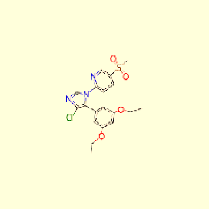 CCOc1cc(OCC)cc(-c2c(Cl)ncn2-c2ccc(S(C)(=O)=O)cn2)c1